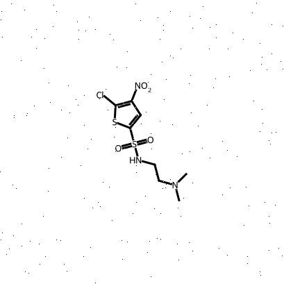 CN(C)CCNS(=O)(=O)c1cc([N+](=O)[O-])c(Cl)s1